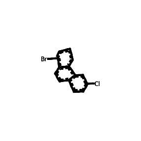 Clc1ccc2ccc3c(Br)cccc3c2c1